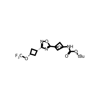 CC(C)(C)OC(=O)NC12CC(c3nc([C@H]4C[C@@H](OC(F)(F)F)C4)no3)(C1)C2